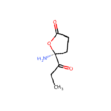 CCC(=O)[C@]1(N)CCC(=O)O1